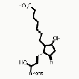 CCCCCC(O)/C=C/[C@H]1C(=O)CC(O)C1CCCCCCC(=O)O